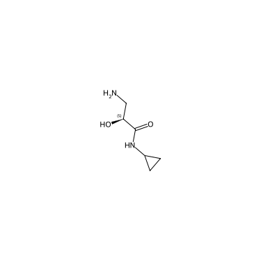 NC[C@H](O)C(=O)NC1CC1